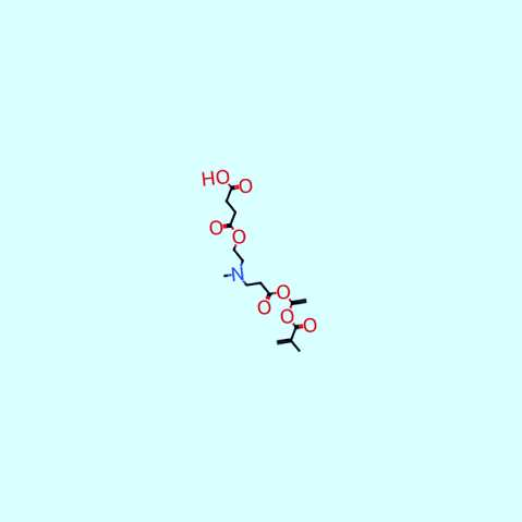 C=C(OC(=O)CCN(C)CCOC(=O)CCC(=O)O)OC(=O)C(=C)C